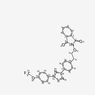 O=C1c2ccccc2C(=O)N1OCCc1ccc(-c2ncn(-c3ccc(OC(F)(F)F)cc3)n2)cc1